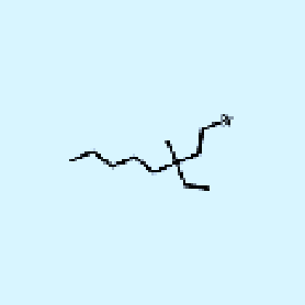 CCCCCC(C)(CC)CCBr